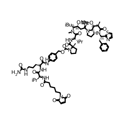 CC[C@H](C)[C@@H]([C@@H](CC(=O)N1CCC[C@H]1[C@H](OC)[C@@H](C)C(=O)N[C@@H](Cc1ccccc1)c1nccs1)OC)N(C)C(=O)[C@@H](NC(=O)[C@]1(C)CCCN1C(=O)OCc1ccc(NC(=O)[C@H](CCCNC(N)=O)NC(=O)[C@@H](NC(=O)CCCCCN2C(=O)C=CC2=O)C(C)C)cc1)C(C)C